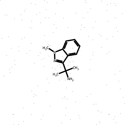 Cn1nc(C(C)(C)N)c2ccccc21